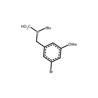 COc1cc(Br)cc(CN(C(=O)O)C(C)(C)C)c1